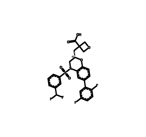 O=C(O)C1(C[C@H]2CN(S(=O)(=O)c3cccc(C(F)F)c3)c3cc(-c4cc(F)ccc4F)ccc3O2)COC1